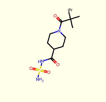 CC(C)C(C)(C)C(=O)N1CCC(C(=O)NS(N)(=O)=O)CC1